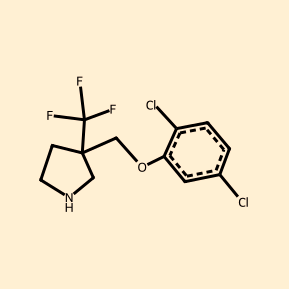 FC(F)(F)C1(COc2cc(Cl)ccc2Cl)CCNC1